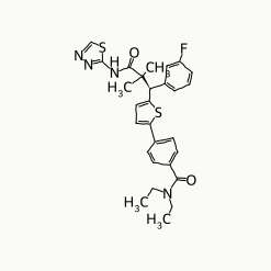 CCN(CC)C(=O)c1ccc(-c2ccc([C@H](c3cccc(F)c3)C(C)(C)C(=O)Nc3nncs3)s2)cc1